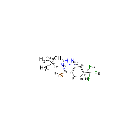 CC(C)(C)C1CSC(c2ccc(C(F)(F)F)cc2N)=N1